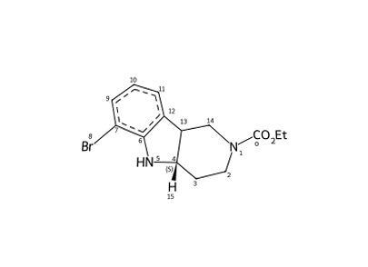 CCOC(=O)N1CC[C@@H]2Nc3c(Br)cccc3C2C1